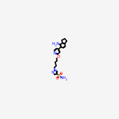 Nc1c(-c2ccnc(OCCCCCn3cc(S(N)(=O)=O)cn3)c2)ccc2c1CCC2